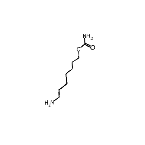 NCCCCCCCOC(N)=O